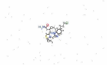 CC(CC(N)=O)CC1=CSC(C)N1Cc1nc2ccc(CCCCl)cc2[nH]1